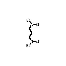 CCN(CC)CC[CH2][Al]([CH2]C)[CH2]C